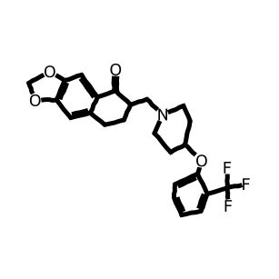 O=C1c2cc3c(cc2CCC1CN1CCC(Oc2ccccc2C(F)(F)F)CC1)OCO3